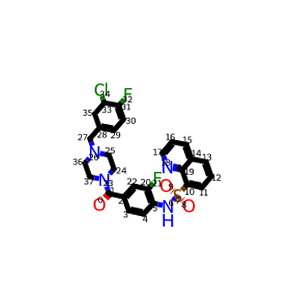 O=C(c1ccc(NS(=O)(=O)c2cccc3cccnc23)c(F)c1)N1CCN(CC2=CC=C(F)C(Cl)C2)CC1